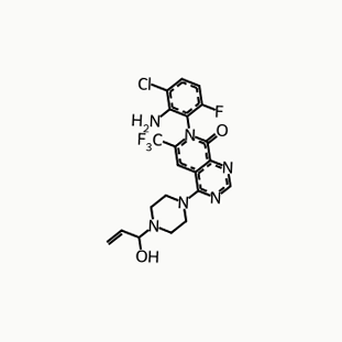 C=CC(O)N1CCN(c2ncnc3c(=O)n(-c4c(F)ccc(Cl)c4N)c(C(F)(F)F)cc23)CC1